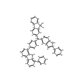 CC1(C)c2ccccc2-c2ccc(N(c3ccc(-c4cccc5c4sc4c(-c6ccccc6)cccc45)cc3)c3ccc4oc(-c5ccccc5)nc4c3)cc21